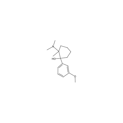 COc1cccc(C2(O)CCCCC2(C)N(C)C)c1